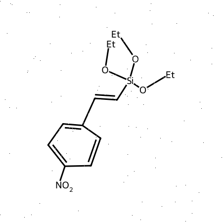 CCO[Si](/C=C/c1ccc([N+](=O)[O-])cc1)(OCC)OCC